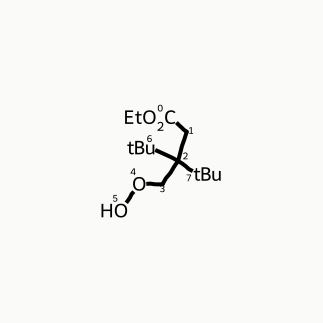 CCOC(=O)CC(COO)(C(C)(C)C)C(C)(C)C